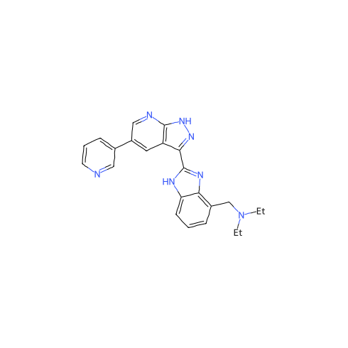 CCN(CC)Cc1cccc2[nH]c(-c3n[nH]c4ncc(-c5cccnc5)cc34)nc12